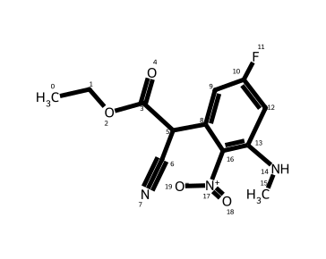 CCOC(=O)C(C#N)c1cc(F)cc(NC)c1[N+](=O)[O-]